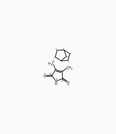 C1CC2CCC1C2.CC1=C(C)C(=O)NC1=O